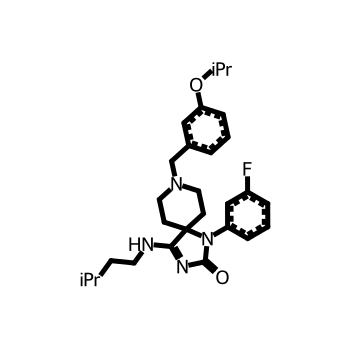 CC(C)CCNC1=NC(=O)N(c2cccc(F)c2)C12CCN(Cc1cccc(OC(C)C)c1)CC2